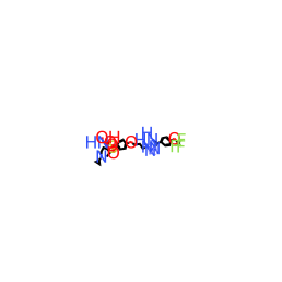 N=C(/N=N\NCCCOc1ccc(S(=O)(=O)C2(C(=O)NO)CCN(C3CC3)CC2)cc1)c1ccc(OC(F)(F)F)cc1